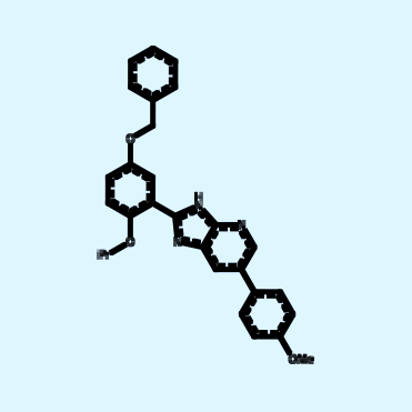 COc1ccc(-c2cnc3[nH]c(-c4cc(OCc5ccccc5)ccc4OC(C)C)nc3c2)cc1